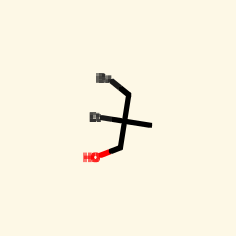 CCC(C)CC(C)(CC)CO